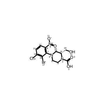 O=C(O)N1CCN(c2c([N+](=O)[O-])ccc(Cl)c2Br)C[C@@H]1CO